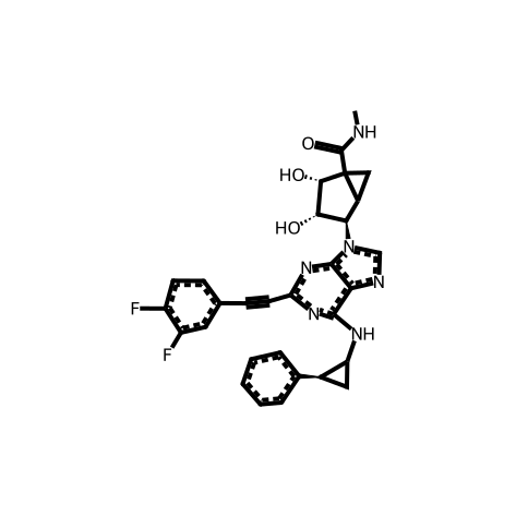 CNC(=O)C12CC1[C@@H](n1cnc3c(NC4C[C@H]4c4ccccc4)nc(C#Cc4ccc(F)c(F)c4)nc31)[C@H](O)[C@@H]2O